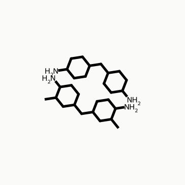 CC1CC(CC2CCC(N)C(C)C2)CCC1N.NC1CCC(CC2CCC(N)CC2)CC1